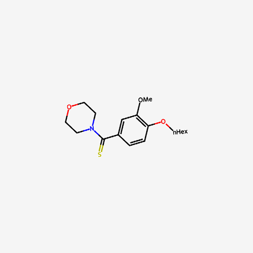 CCCCCCOc1ccc(C(=S)N2CCOCC2)cc1OC